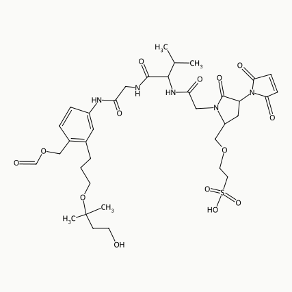 CC(C)C(NC(=O)CN1C(=O)C(N2C(=O)C=CC2=O)CC1COCCS(=O)(=O)O)C(=O)NCC(=O)Nc1ccc(COC=O)c(CCCOC(C)(C)CCO)c1